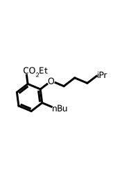 CCCCc1cccc(C(=O)OCC)c1OCCCC(C)C